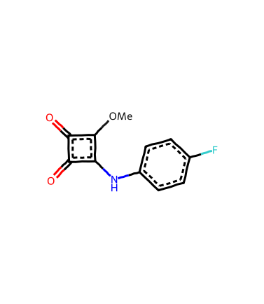 COc1c(Nc2ccc(F)cc2)c(=O)c1=O